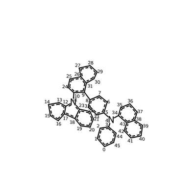 c1ccc(N(c2ccc(-c3c(-n4c5ccccc5c5ccccc54)ccc4ccccc34)cc2)c2cccc3ccccc23)cc1